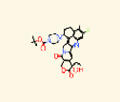 CC[C@@]1(O)C(=O)OCc2c1cc1n(c2=O)Cc2c-1nc1cc(F)c(C)c3c1c2[C@@H](N1CCN(C(=O)OC(C)(C)C)CC1)CC3